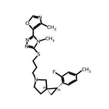 Cc1ccc([C@@H]2C[C@@]23CCN(CCCSc2nnc(-c4ocnc4C)n2C)C3)c(F)c1